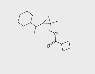 CC(C1CCCCC1)C1CC1(C)COC(=O)C1CCC1